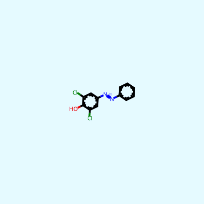 Oc1c(Cl)cc(/N=N/c2ccccc2)cc1Cl